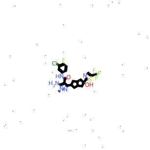 Cn1nc(C2CC3CC(O)(c4ncc(C(F)(F)F)s4)CC3C2)c(C(=O)Nc2ccc(F)c(Cl)c2)c1N